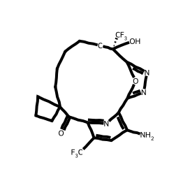 Nc1cc(C(F)(F)F)c2nc1-c1nnc(o1)[C@@](O)(C(F)(F)F)CCCCCC1(CCC1)C2=O